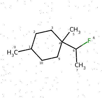 CC1CCC(C)(C(C)F)CC1